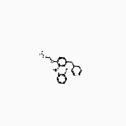 COCOc1ccc(CC2C=CC=CC2)cc1Pc1ccccc1F